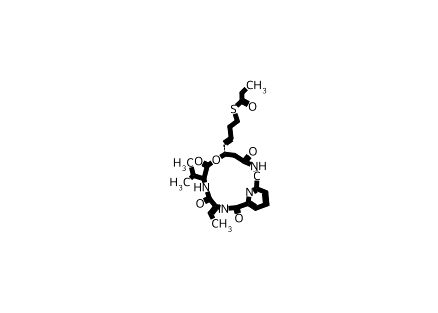 C/C=C1\NC(=O)c2cccc(n2)CNC(=O)C[C@@H](/C=C/CCSC(=O)CC)OC(=O)C(C(C)C)NC1=O